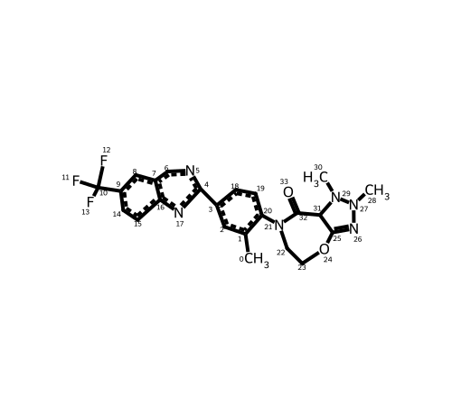 Cc1cc(-c2ncc3cc(C(F)(F)F)ccc3n2)ccc1N1CCOC2=NN(C)N(C)C2C1=O